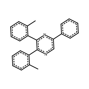 Cc1ccccc1-c1ncc(-c2ccccc2)nc1-c1ccccc1C